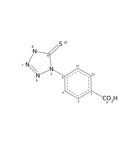 O=C(O)c1ccc(N2N=N[N]C2=S)cc1